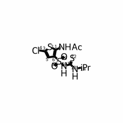 CC(=O)Nc1sc(Cl)cc1S(=O)(=O)NC(=S)NC(C)C